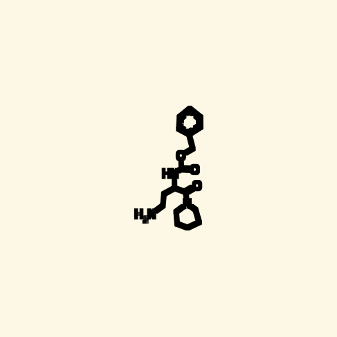 NCCC(NC(=O)OCc1ccccc1)C(=O)N1CCCCC1